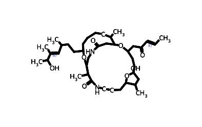 C/C=C/C(=O)CC1CCC2(O)CC(C)C(CCCNC(=O)C(C)C3CNC(=O)CC(O1)C(C)CCCCC(CCC(C)/C=C(\C)C(C)O)O3)O2